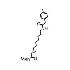 CNC(=O)COCCCCCCCNC(=O)Cc1ccc(C)cc1